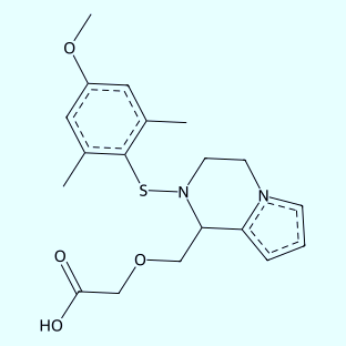 COc1cc(C)c(SN2CCn3cccc3C2COCC(=O)O)c(C)c1